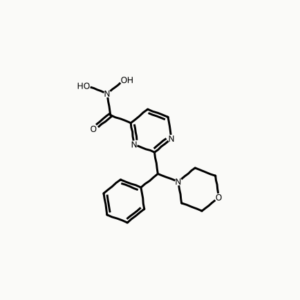 O=C(c1ccnc(C(c2ccccc2)N2CCOCC2)n1)N(O)O